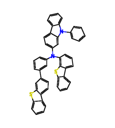 c1ccc(-n2c3ccccc3c3ccc(N(c4cccc(-c5ccc6c(c5)sc5ccccc56)c4)c4cccc5c4sc4ccccc45)cc32)cc1